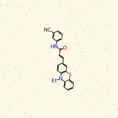 CCN1c2ccccc2Sc2cc(/C=C/C(=O)Nc3cccc(C#N)c3)ccc21